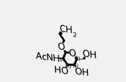 C=CCOC1O[C@H](CO)[C@@H](O)[C@H](O)[C@H]1NC(C)=O